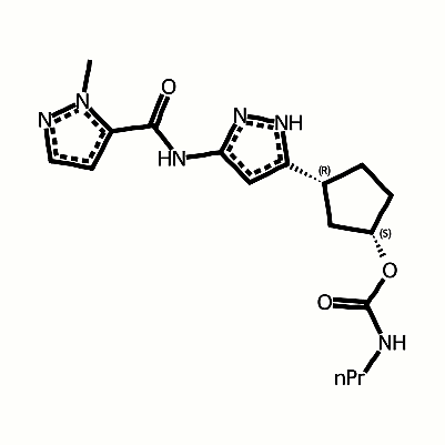 CCCNC(=O)O[C@H]1CC[C@@H](c2cc(NC(=O)c3ccnn3C)n[nH]2)C1